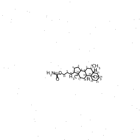 C[C@H]1CC2C3CCC(CCCOC(N)=O)[C@@]3(C)CC[C@@H]2[C@@]2(C)CCCC[C@@H]12